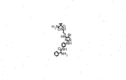 NC(=O)C1(C(=O)NCCCNc2nc(Nc3cccc(NC(=O)[C@@H](N)c4ccccc4)c3)ncc2Br)CC1